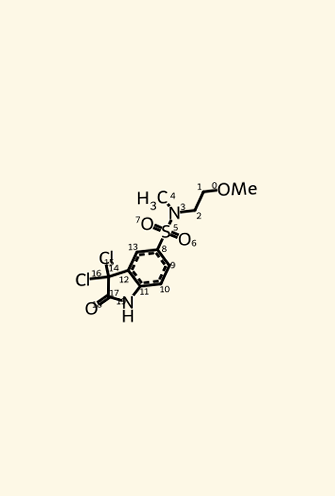 COCCN(C)S(=O)(=O)c1ccc2c(c1)C(Cl)(Cl)C(=O)N2